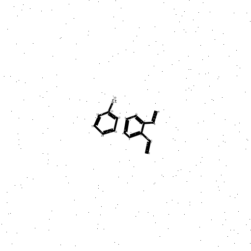 C=Cc1ccccc1C=C.CCc1ccccc1